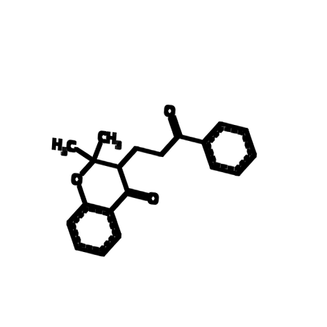 CC1(C)Oc2ccccc2C(=O)C1CCC(=O)c1ccccc1